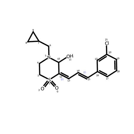 O=S1(=O)CCN(CC2CC2)C(O)/C1=C\C=C\c1cccc(Cl)c1